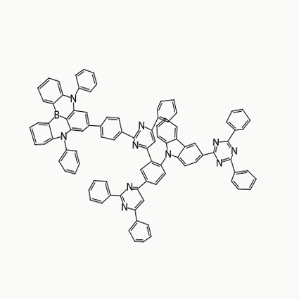 c1ccc(-c2cc(-c3ccc(-n4c5ccccc5c5cc(-c6nc(-c7ccccc7)nc(-c7ccccc7)n6)ccc54)c(-c4cc(-c5ccccc5)nc(-c5ccc(-c6cc7c8c(c6)N(c6ccccc6)c6ccccc6B8c6ccccc6N7c6ccccc6)cc5)n4)c3)nc(-c3ccccc3)n2)cc1